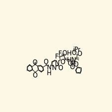 CC(C)OC(=O)[C@H](C)N[P@](=O)(OC[C@H]1OC(n2ccc(NC(=O)c3ccc4c(c3)C(=O)c3ccccc3C4=O)nc2=O)C(F)(F)[C@@H]1O)Oc1ccccc1